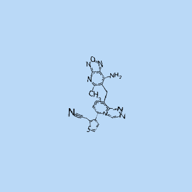 Cc1nc2nonc2c(N)c1Cc1ccc(-c2ccsc2C#N)n2cnnc12